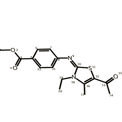 CCOC(=O)c1ccc(/N=c2/sc(C(C)=O)c(C)n2CC)cc1